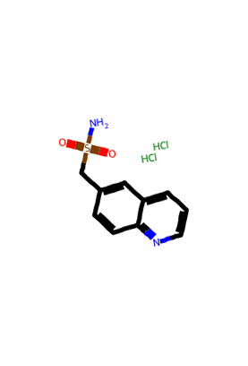 Cl.Cl.NS(=O)(=O)Cc1ccc2ncccc2c1